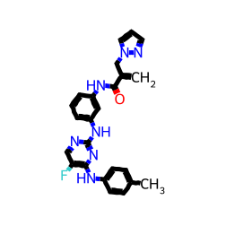 C=C(Cn1cccn1)C(=O)Nc1cccc(Nc2ncc(F)c(Nc3ccc(C)cc3)n2)c1